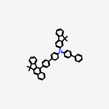 CC1(C)c2ccccc2-c2ccc(N(C3=CC=C(c4ccc(-c5c6c(cc7ccccc57)C(C)(C)c5ccccc5-6)cc4)CC3)c3ccc(-c4ccccc4)cc3)cc21